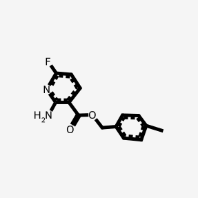 Cc1ccc(COC(=O)c2ccc(F)nc2N)cc1